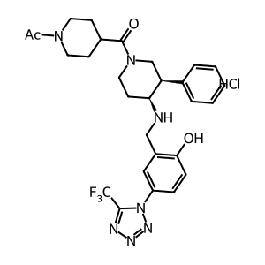 CC(=O)N1CCC(C(=O)N2CC[C@H](NCc3cc(-n4nnnc4C(F)(F)F)ccc3O)[C@H](c3ccccc3)C2)CC1.Cl